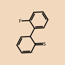 Fc1ccccc1C1C=CC=[C]C1=S